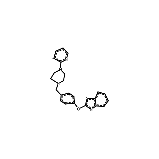 [c]1cccnc1N1CCN(Cc2ccc(Oc3nc4ccccc4s3)cc2)CC1